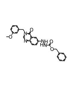 COc1cccc(Cn2cnc3ccc(NNC(=O)OCc4ccccc4)cc3c2=O)c1